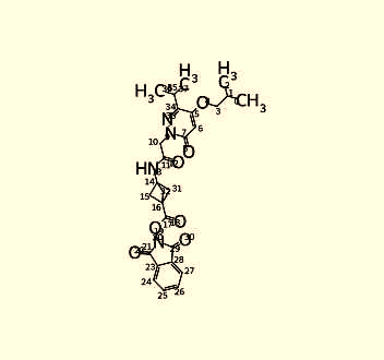 CC(C)COc1cc(=O)n(CC(=O)NC23CC(C(=O)ON4C(=O)c5ccccc5C4=O)(C2)C3)nc1C(C)C